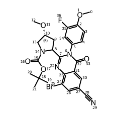 COc1ccc(-n2c(C3C[C@@H](OC)CN3C(=O)OC(C)(C)C)nc3c(Br)cc(C#N)cc3c2=O)cc1F